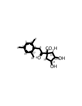 Cc1cc(C)c(CC(=O)C2(C(=O)O)CC(O)C(O)C2)c(C)c1